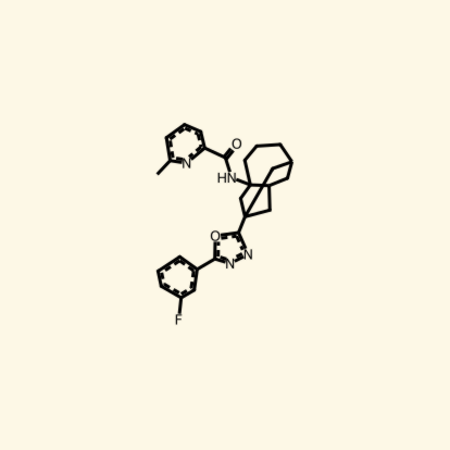 Cc1cccc(C(=O)NC23CCCC4CC2CC(c2nnc(-c5cccc(F)c5)o2)(C4)C3)n1